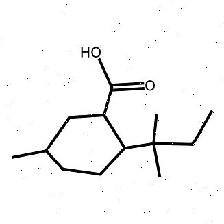 CCC(C)(C)C1CCC(C)CC1C(=O)O